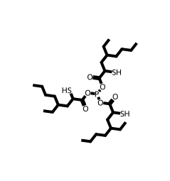 CCCCC(CC)CC(S)C(=O)OP(OC(=O)C(S)CC(CC)CCCC)OC(=O)C(S)CC(CC)CCCC